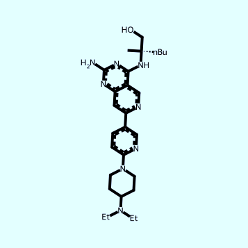 CCCC[C@](C)(CO)Nc1nc(N)nc2cc(-c3ccc(N4CCC(N(CC)CC)CC4)nc3)ncc12